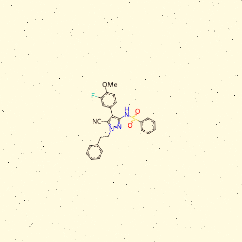 COc1ccc(-c2c(NS(=O)(=O)c3ccccc3)nn(CCc3ccccc3)c2C#N)cc1F